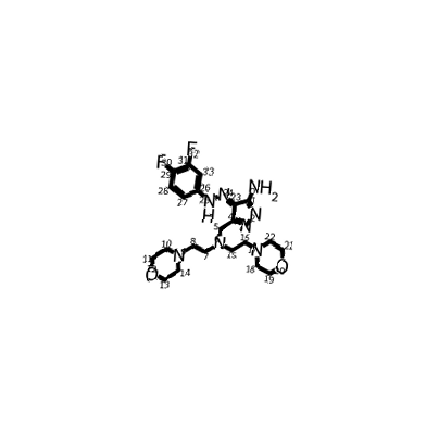 NC1=NN=C(CN(CCN2CCOCC2)CCN2CCOCC2)/C1=N\Nc1ccc(F)c(F)c1